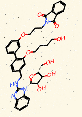 O=C1c2ccccc2C(=O)N1CCCOc1cccc(-c2ccc(CNc3nc4ccccc4n3[C@@H]3O[C@H](CO)[C@@H](O)[C@H]3O)cc2OCCCCO)c1